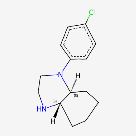 Clc1ccc(N2CCN[C@H]3CCCC[C@@H]32)cc1